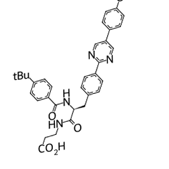 CCCCCOc1ccc(-c2cnc(-c3ccc(C[C@H](NC(=O)c4ccc(C(C)(C)C)cc4)C(=O)NCCC(=O)O)cc3)nc2)cc1